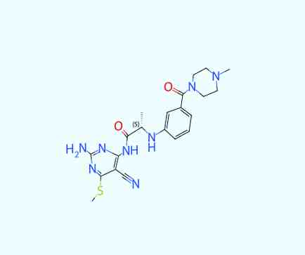 CSc1nc(N)nc(NC(=O)[C@H](C)Nc2cccc(C(=O)N3CCN(C)CC3)c2)c1C#N